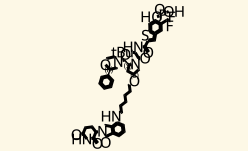 CC(C)(C)C(NC(=O)c1cc2cc(C(F)(F)P(=O)(O)O)ccc2s1)C(=O)N1C[C@@H](OCCCCCCNc2cccc3c2CN(C2CCC(=O)NC2=O)C3=O)C[C@H]1C(=O)N1CCO[C@H](c2ccccc2)C1